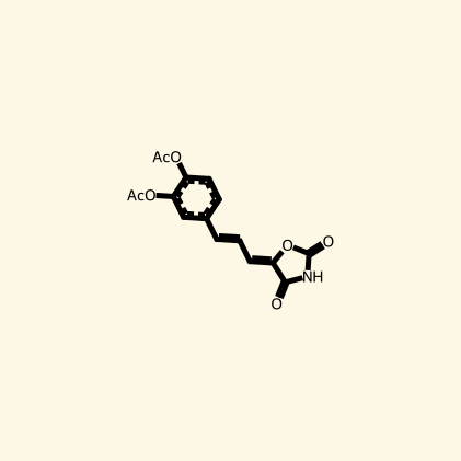 CC(=O)Oc1ccc(/C=C/C=C2\OC(=O)NC2=O)cc1OC(C)=O